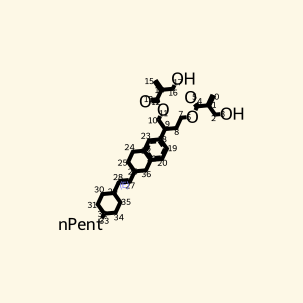 C=C(CO)C(=O)OCCC(COC(=O)C(=C)CO)c1ccc2c(c1)CCC(/C=C/C1CCC(CCCCC)CC1)C2